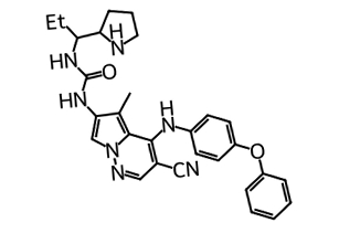 CCC(NC(=O)Nc1cn2ncc(C#N)c(Nc3ccc(Oc4ccccc4)cc3)c2c1C)C1CCCN1